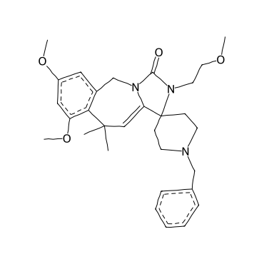 COCCN1C(=O)N2Cc3cc(OC)cc(OC)c3C(C)(C)C=C2C12CCN(Cc1ccccc1)CC2